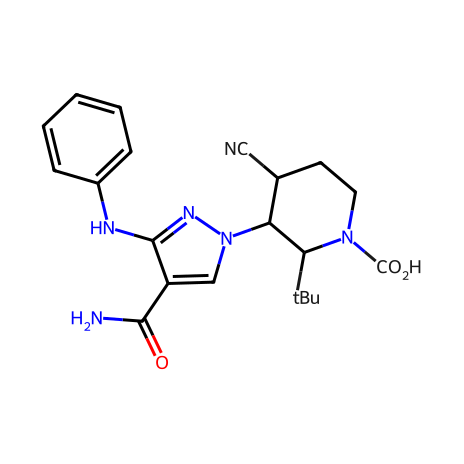 CC(C)(C)C1C(n2cc(C(N)=O)c(Nc3ccccc3)n2)C(C#N)CCN1C(=O)O